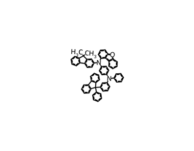 CC1(C)c2ccccc2-c2ccc(N(c3ccc(N(c4ccccc4)c4cccc(C5(c6ccccc6)c6ccccc6-c6ccccc65)c4)cc3)c3cccc4oc5ccccc5c34)cc21